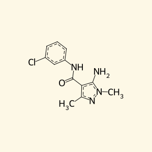 Cc1nn(C)c(N)c1C(=O)Nc1cccc(Cl)c1